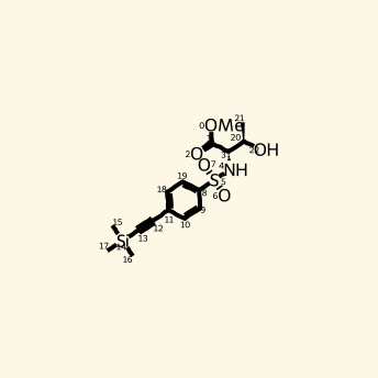 COC(=O)[C@@H](NS(=O)(=O)c1ccc(C#C[Si](C)(C)C)cc1)[C@@H](C)O